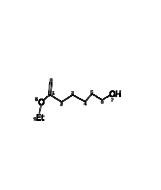 C=C(CCCCCO)OCC